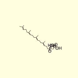 CC(C)=CCC/C(C)=C/CC/C(C)=C/CC/C(C)=C/CCP(=O)(O)CP(=O)(O)O